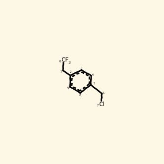 FC(F)(F)Cc1ccc(CCl)cc1